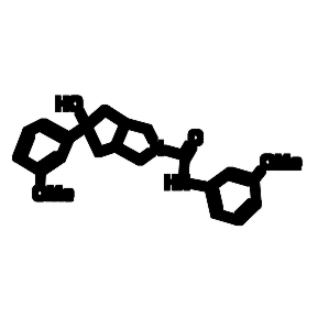 COc1cccc(NC(=O)N2CC3CC(O)(c4cccc(OC)c4)CC3C2)c1